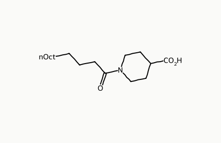 CCCCCCCCCCCC(=O)N1CCC(C(=O)O)CC1